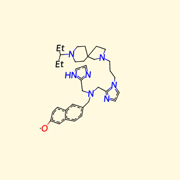 CCC(CC)N1CCC2(CCN(CCCn3ccnc3CN(Cc3ccc4cc([O])ccc4c3)Cc3ncc[nH]3)C2)CC1